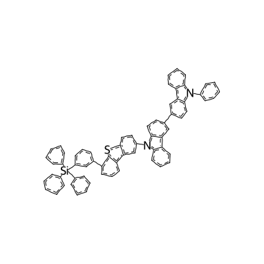 c1ccc(-n2c3ccccc3c3cc(-c4ccc5c(c4)c4ccccc4n5-c4ccc5sc6c(-c7cccc([Si](c8ccccc8)(c8ccccc8)c8ccccc8)c7)cccc6c5c4)ccc32)cc1